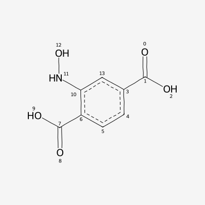 O=C(O)c1ccc(C(=O)O)c(NO)c1